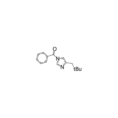 CC(C)(C)Cc1cn(C(=O)c2ccccc2)cn1